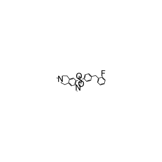 CN1CCc2cc(N(C)C)c(S(=O)(=O)c3ccc(Cc4ccccc4F)cc3)cc2CC1